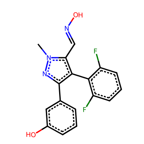 Cn1nc(-c2cccc(O)c2)c(-c2c(F)cccc2F)c1C=NO